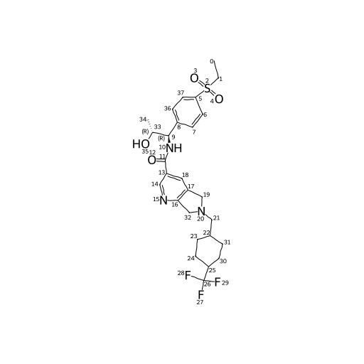 CCS(=O)(=O)c1ccc([C@@H](NC(=O)c2cnc3c(c2)CN(CC2CCC(C(F)(F)F)CC2)C3)[C@@H](C)O)cc1